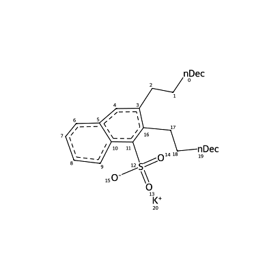 CCCCCCCCCCCCc1cc2ccccc2c(S(=O)(=O)[O-])c1CCCCCCCCCCCC.[K+]